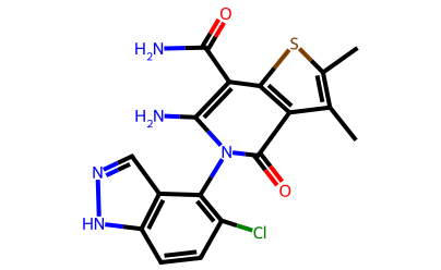 Cc1sc2c(C(N)=O)c(N)n(-c3c(Cl)ccc4[nH]ncc34)c(=O)c2c1C